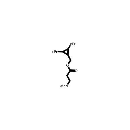 CCCC1C(CCC)C1COC(=O)CCNC